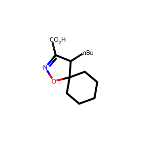 CCCCC1C(C(=O)O)=NOC12CCCCC2